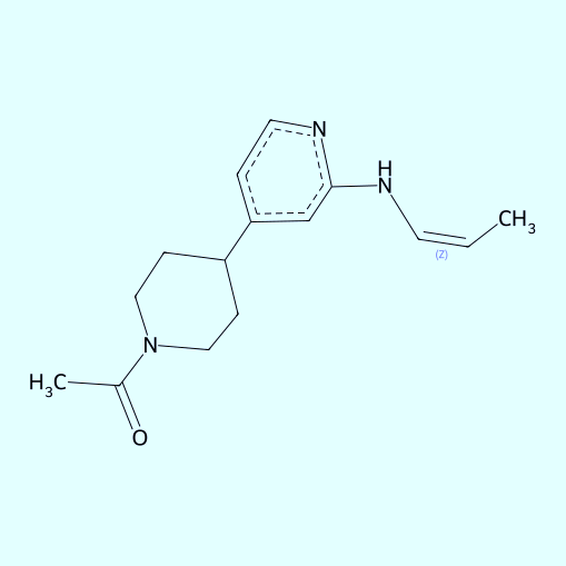 C/C=C\Nc1cc(C2CCN(C(C)=O)CC2)ccn1